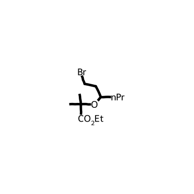 CCCC(CCBr)OC(C)(C)C(=O)OCC